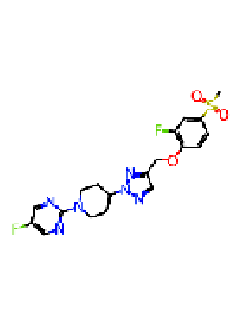 CS(=O)(=O)c1ccc(OCc2cnn(C3CCN(c4ncc(F)cn4)CC3)n2)c(F)c1